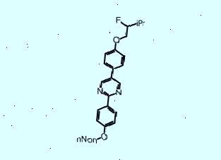 CCCCCCCCCOc1ccc(-c2ncc(-c3ccc(OCC(F)C(C)C)cc3)cn2)cc1